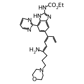 C=C/C(=C\C=C(/N)CCCN1CCOCC1)c1cc(-c2ncccn2)c2[nH]c(NC(=O)OCC)nc2c1